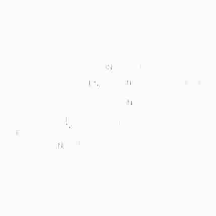 CCOc1cc(C(=O)Nc2cc(C(F)(F)F)ccn2)ccc1-c1nc(C2CCC(C)(C(=O)O)CC2)n2c(Cl)cnc(N)c12